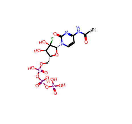 CCCC(=O)Nc1ccn([C@@H]2O[C@H](COP(=O)(O)OP(=O)(O)OP(=O)(O)O)[C@@H](O)[C@]2(O)F)c(=O)n1